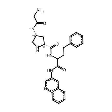 NCC(=O)N[C@H]1CN[C@@H](C(=O)NC(CCc2ccccc2)C(=O)Nc2cnc3ccccc3c2)C1